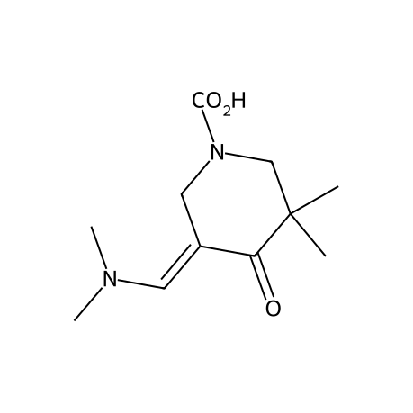 CN(C)C=C1CN(C(=O)O)CC(C)(C)C1=O